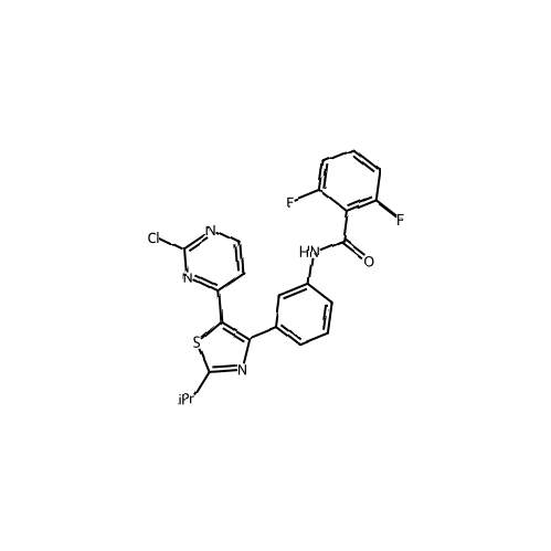 CC(C)c1nc(-c2cccc(NC(=O)c3c(F)cccc3F)c2)c(-c2ccnc(Cl)n2)s1